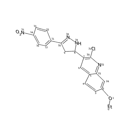 CCOc1ccc2cc(C3CC(c4ccc([N+](=O)[O-])cc4)=NN3)c(Cl)nc2c1